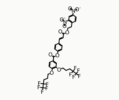 O=C(C=Cc1ccc(OC(=O)c2ccc(OCCCC(F)(F)C(F)(F)F)c(OCCCC(F)(F)C(F)(F)F)c2)cc1)OCCc1ccc([N+](=O)[O-])cc1[N+](=O)[O-]